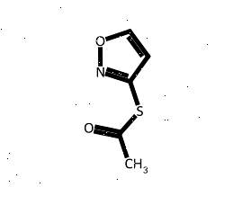 CC(=O)Sc1ccon1